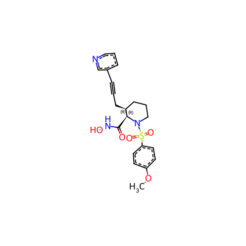 COc1ccc(S(=O)(=O)N2CCC[C@H](CC#Cc3cccnc3)[C@@H]2C(=O)NO)cc1